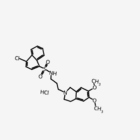 COc1cc2c(cc1OC)CN(CCCNS(=O)(=O)c1ccc(Cl)c3ccccc13)CC2.Cl